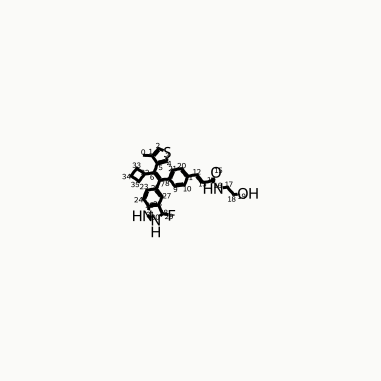 Cc1cscc1/C(=C(\c1ccc(/C=C/C(=O)NCCO)cc1)c1ccc2c(c1)C(F)NN2)C1CCC1